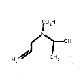 C=CCN(C(=O)O)C(C)O